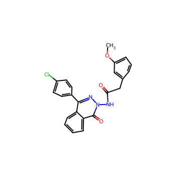 COc1cccc(CC(=O)Nn2nc(-c3ccc(Cl)cc3)c3ccccc3c2=O)c1